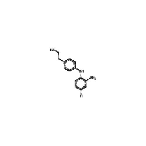 Nc1cc(Cl)ccc1Nc1ccc(CCO)cc1